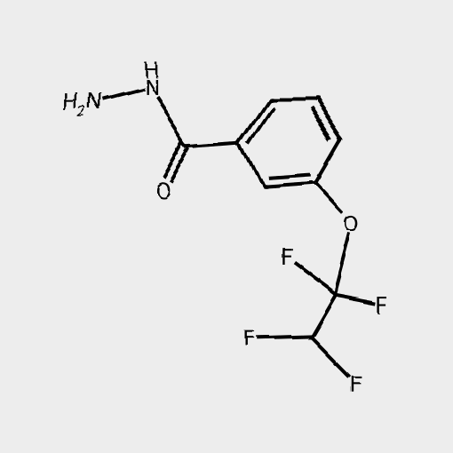 NNC(=O)c1cccc(OC(F)(F)C(F)F)c1